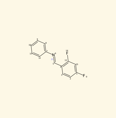 Fc1ccc(/C=N/c2ccccc2)c(F)c1